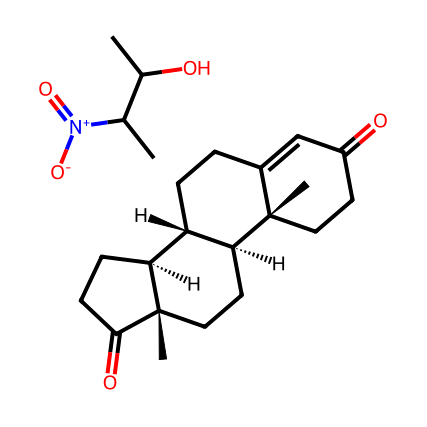 CC(O)C(C)[N+](=O)[O-].C[C@]12CCC(=O)C=C1CC[C@@H]1[C@@H]2CC[C@]2(C)C(=O)CC[C@@H]12